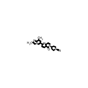 Cc1cn2cc(-c3ccc4c(=O)n(C5CCB(C#N)CC5)ccc4n3)cc(C)c2n1